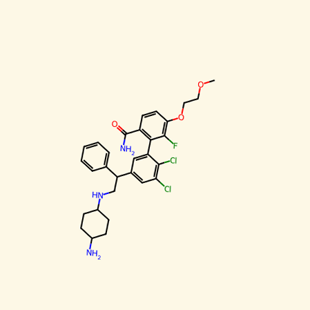 COCCOc1ccc(C(N)=O)c(-c2cc(C(CNC3CCC(N)CC3)c3ccccc3)cc(Cl)c2Cl)c1F